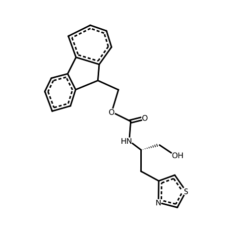 O=C(N[C@H](CO)Cc1cscn1)OCC1c2ccccc2-c2ccccc21